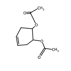 CC(=O)OC1CC=CCC1OC(C)=O